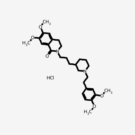 COc1ccc(CCN2CCCC(CCCN3CCc4cc(OC)c(OC)cc4C3=O)C2)cc1OC.Cl